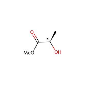 [CH2]OC(=O)[C@@H](C)O